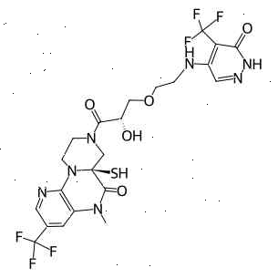 CN1C(=O)[C@@]2(S)CN(C(=O)[C@@H](O)COCCNc3cn[nH]c(=O)c3C(F)(F)F)CCN2c2ncc(C(F)(F)F)cc21